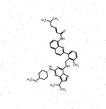 CO[C@H]1CC[C@H](Nc2nc(NCc3c(C)cccc3-c3ccc4cccc(NC(=O)/C=C/CN(C)C)c4n3)n3ncc(C(C)C)c3n2)CC1